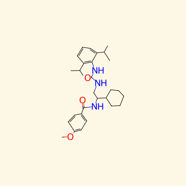 COc1ccc(C(=O)NC(CNC(=O)Nc2c(C(C)C)cccc2C(C)C)C2CCCCC2)cc1